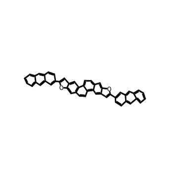 c1ccc2cc3cc(-c4cc5cc6c(ccc7c8cc9cc(-c%10ccc%11cc%12ccccc%12cc%11c%10)oc9cc8ccc67)cc5o4)ccc3cc2c1